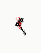 CCCCCCCCOC(=O)c1ccccc1OC(=O)c1ccccc1O